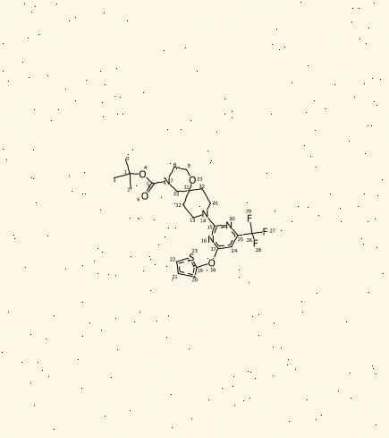 CC(C)(C)OC(=O)N1CCOC2(CCN(c3nc(Oc4cccs4)cc(C(F)(F)F)n3)CC2)C1